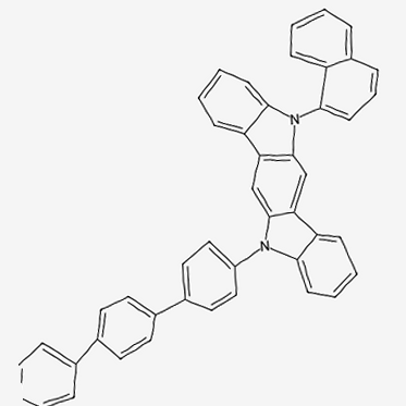 c1ccc(-c2ccc(-c3ccc(-n4c5ccccc5c5cc6c(cc54)c4ccccc4n6-c4cccc5ccccc45)cc3)cc2)cc1